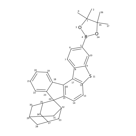 CC1(C)OB(c2ccc3c(c2)sc2ccc4c(c23)-c2ccccc2C42C3CC4CC(C3)CC2C4)OC1(C)C